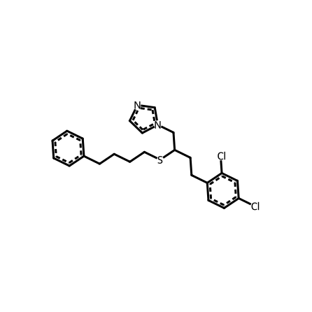 Clc1ccc(CCC(Cn2ccnc2)SCCCCc2ccccc2)c(Cl)c1